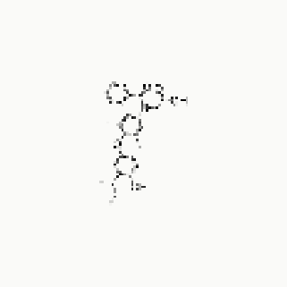 CCC(C)c1cc(Oc2c(C)cc(N(CC(=O)O)C(=O)c3ccccc3)cc2C)ccc1O